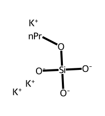 CCCO[Si]([O-])([O-])[O-].[K+].[K+].[K+]